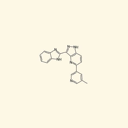 Cc1cncc(-c2ccc3[nH]nc(-c4nc5ccccc5[nH]4)c3n2)c1